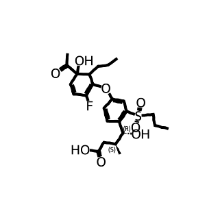 CCCC1C(Oc2ccc([C@H](O)[C@@H](C)CC(=O)O)c(S(=O)(=O)CCC)c2)=C(F)C=CC1(O)C(C)=O